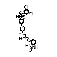 O=c1[nH]c2cccc(OC[C@@H](O)CNC3CCN(c4ccc(NS(=O)(=O)c5cc(Cl)cc(Cl)c5)cc4)CC3)c2[nH]1